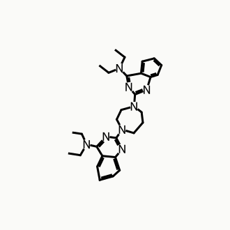 CCN(CC)c1nc(N2CCCN(c3nc(N(CC)CC)c4ccccc4n3)CC2)nc2ccccc12